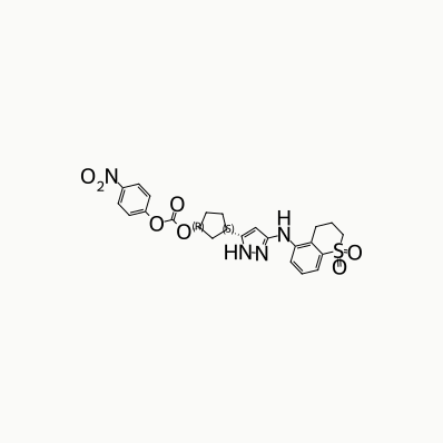 O=C(Oc1ccc([N+](=O)[O-])cc1)O[C@@H]1CC[C@H](c2cc(Nc3cccc4c3CCCS4(=O)=O)n[nH]2)C1